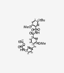 COc1ccc(C(C)(C)C)nc1S(=O)(=O)NC(=O)c1ccc(Cn2ccc(NC(=O)OC(C)(C)C)n2)c(OC)n1